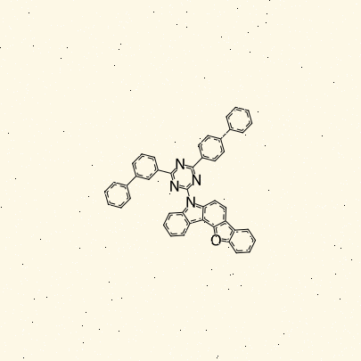 c1ccc(-c2ccc(-c3nc(-c4cccc(-c5ccccc5)c4)nc(-n4c5ccccc5c5c6oc7ccccc7c6ccc54)n3)cc2)cc1